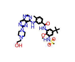 COc1c(NC(=O)c2ccc(C)c(Nc3ncnc4cnc(N5CCN(CCO)CC5)nc34)c2)cc(C(C)(C)C)cc1NS(C)(=O)=O